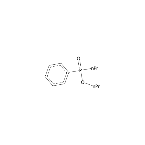 CCCOP(=O)(CCC)c1ccccc1